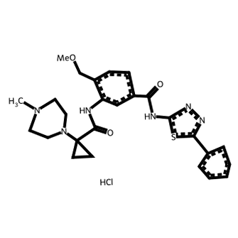 COCc1ccc(C(=O)Nc2nnc(-c3ccccc3)s2)cc1NC(=O)C1(N2CCN(C)CC2)CC1.Cl